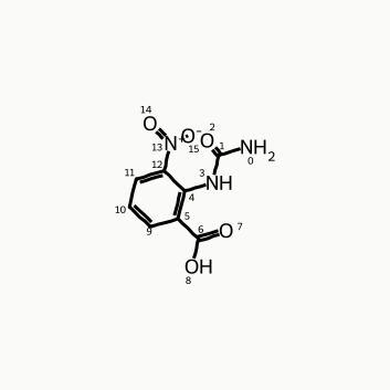 NC(=O)Nc1c(C(=O)O)cccc1[N+](=O)[O-]